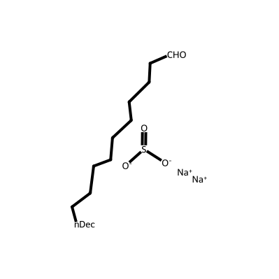 CCCCCCCCCCCCCCCCCCCC=O.O=S([O-])[O-].[Na+].[Na+]